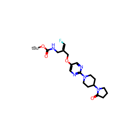 CC(C)(C)OC(=O)NC/C(=C\F)COc1cnc(N2CCC(N3CCCC3=O)CC2)nc1